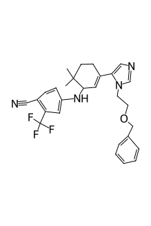 CC1(C)CCC(c2cncn2CCOCc2ccccc2)=CC1Nc1ccc(C#N)c(C(F)(F)F)c1